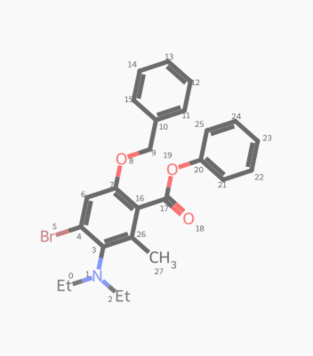 CCN(CC)c1c(Br)cc(OCc2ccccc2)c(C(=O)Oc2ccccc2)c1C